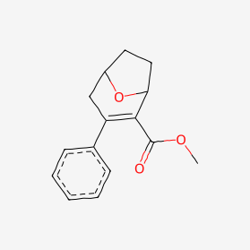 COC(=O)C1=C(c2ccccc2)CC2CCC1O2